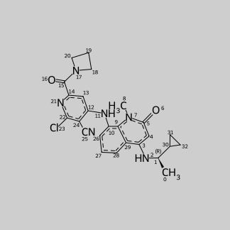 C[C@@H](Nc1cc(=O)n(C)c2c(Nc3cc(C(=O)N4CCC4)nc(Cl)c3C#N)cccc12)C1CC1